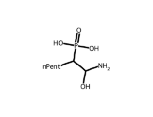 CCCCCC(C(N)O)P(=O)(O)O